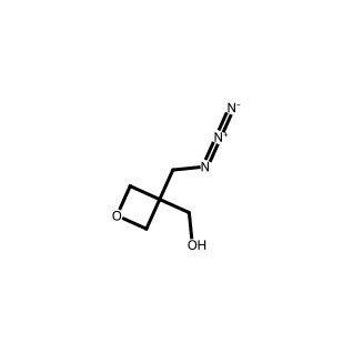 [N-]=[N+]=NCC1(CO)COC1